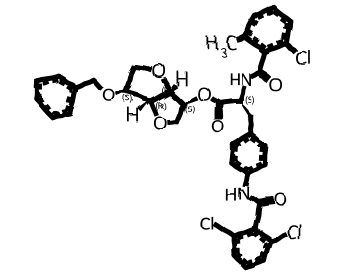 Cc1cccc(Cl)c1C(=O)N[C@@H](Cc1ccc(NC(=O)c2c(Cl)cccc2Cl)cc1)C(=O)O[C@H]1CO[C@H]2[C@@H]1OC[C@@H]2OCc1ccccc1